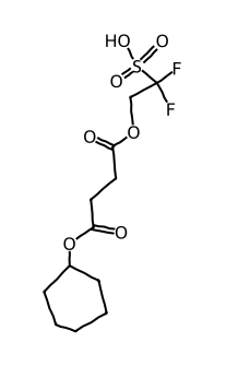 O=C(CCC(=O)OC1CCCCC1)OCC(F)(F)S(=O)(=O)O